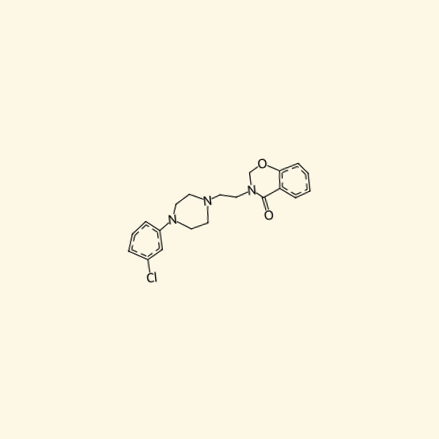 O=C1c2ccccc2OCN1CCN1CCN(c2cccc(Cl)c2)CC1